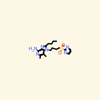 CCCCc1nc2c(N)nc(C)c(C)c2n1CCCCS(=O)(=O)c1ncccn1